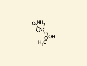 CCOC(O)CCC[n+]1cccc(C(N)=O)c1